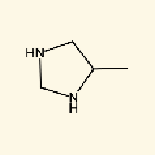 CC1CNCN1